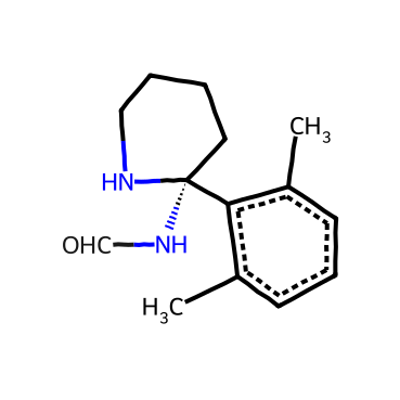 Cc1cccc(C)c1[C@]1(NC=O)CCCCN1